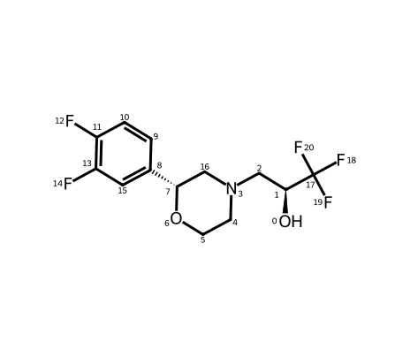 O[C@@H](CN1CCO[C@H](c2ccc(F)c(F)c2)C1)C(F)(F)F